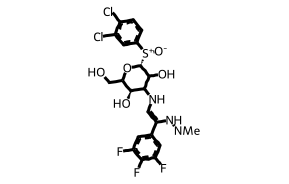 CNN/C(=C\NC1C(O)[C@@H]([S+]([O-])c2ccc(Cl)c(Cl)c2)OC(CO)[C@@H]1O)c1cc(F)c(F)c(F)c1